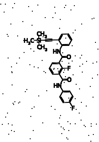 C[Si](C)(C)C#Cc1ccccc1NC(=O)c1cccc(C(=O)Nc2ccc(F)cc2)c1F